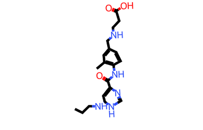 CCCNC1C=C(C(=O)Nc2ccc(CNCCC(=O)O)cc2C)N=CN1